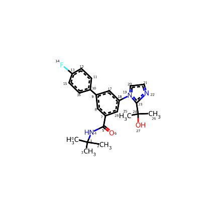 CC(C)(C)NC(=O)c1cc(-c2ccc(F)cc2)cc(-n2ccnc2C(C)(C)O)c1